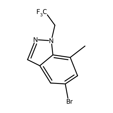 Cc1cc(Br)cc2cnn(CC(F)(F)F)c12